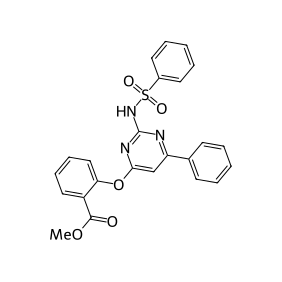 COC(=O)c1ccccc1Oc1cc(-c2ccccc2)nc(NS(=O)(=O)c2ccccc2)n1